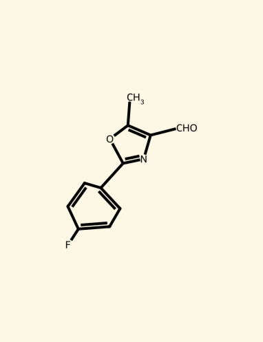 Cc1oc(-c2ccc(F)cc2)nc1C=O